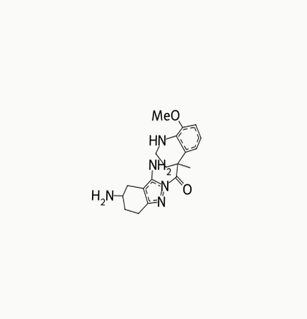 COc1cccc2c1NCCC2(C)C(=O)n1nc2c(c1N)CC(N)CC2